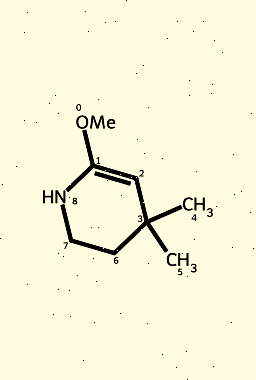 COC1=CC(C)(C)CCN1